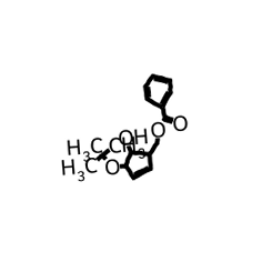 CC(C)(C)OC1C=CC(COC(=O)c2ccccc2)C1O